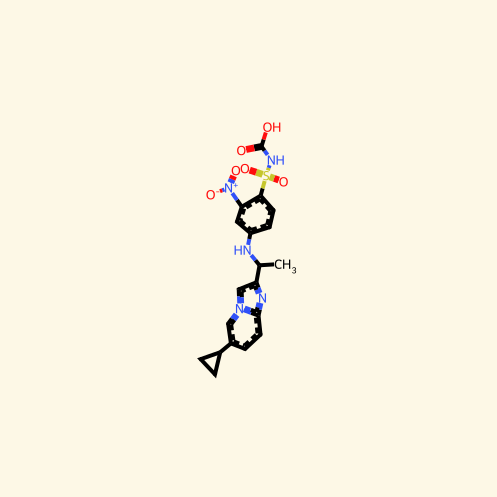 CC(Nc1ccc(S(=O)(=O)NC(=O)O)c([N+](=O)[O-])c1)c1cn2cc(C3CC3)ccc2n1